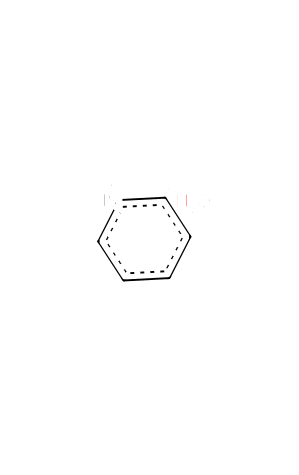 O.c1cc[siH]cc1